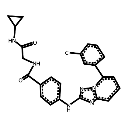 O=C(CNC(=O)c1ccc(Nc2nc3cccc(-c4cccc(Cl)c4)n3n2)cc1)NC1CC1